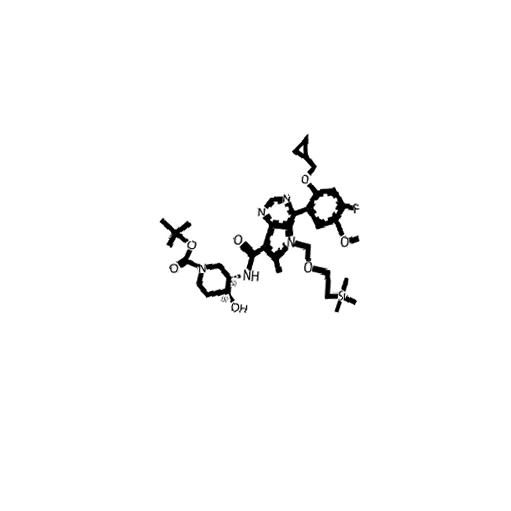 COc1cc(-c2ncnc3c(C(=O)N[C@H]4CN(C(=O)OC(C)(C)C)CC[C@@H]4O)c(C)n(COCC[Si](C)(C)C)c23)c(OCC2CC2)cc1F